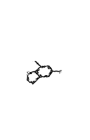 [CH2]c1cc(F)cc2ccsc12